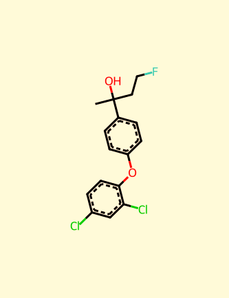 CC(O)(CCF)c1ccc(Oc2ccc(Cl)cc2Cl)cc1